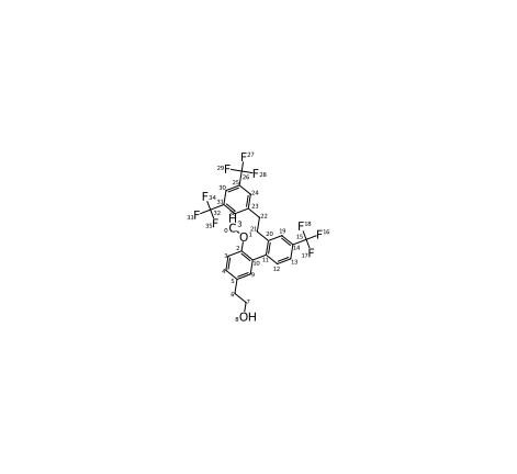 COc1ccc(CCO)cc1-c1ccc(C(F)(F)F)cc1CCc1cc(C(F)(F)F)cc(C(F)(F)F)c1